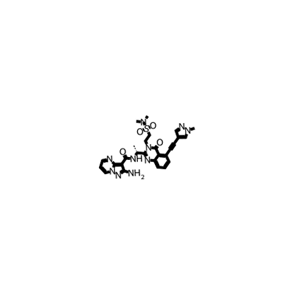 C[C@@H](NC(=O)c1c(N)nn2cccnc12)c1nc2cccc(C#Cc3cnn(C)c3)c2c(=O)n1CCS(=O)(=O)N(C)C